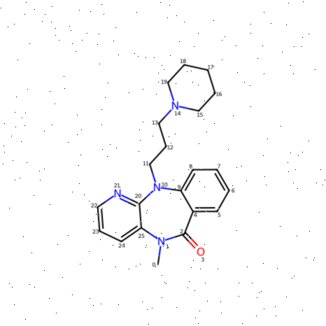 CN1C(=O)c2ccccc2N(CCCN2CCCCC2)c2ncccc21